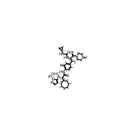 CC(C)n1nccc1N(C=O)[C@H](C(=O)Nc1ccc([C@H](C)[C@@H](NC(=O)NC2CC2)C(=O)N2CCN(C)CC2)cc1F)C1CCCCCC1